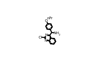 CCCOc1ccc(C(N)c2nc(Cl)nc3ccccc23)cc1